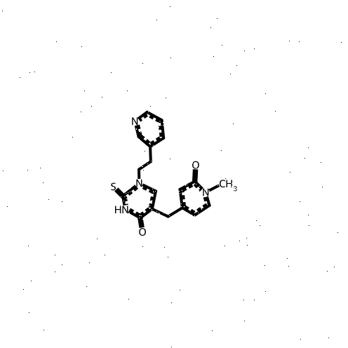 Cn1ccc(Cc2cn(CCc3cccnc3)c(=S)[nH]c2=O)cc1=O